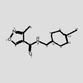 Cc1nocc1C(=O)NCC1CCC(C)CC1